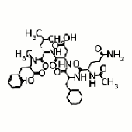 CC(=O)NC(CCC(N)=O)C(=O)N[C@@H](CC1CCCCC1)C(=O)NC(CC(=O)O)C(=O)N[C@@H](CC(C)C)C(=O)N(C)C(Cc1ccccc1)C(=O)O